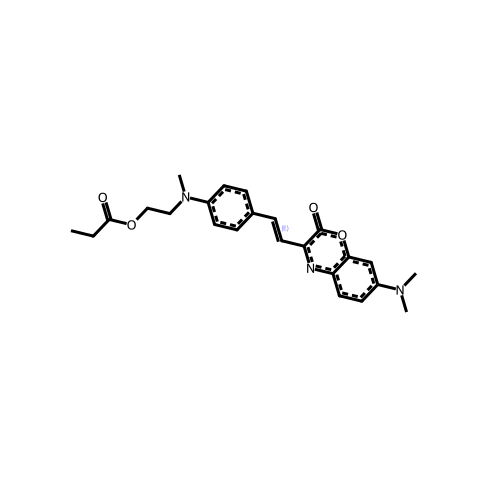 CCC(=O)OCCN(C)c1ccc(/C=C/c2nc3ccc(N(C)C)cc3oc2=O)cc1